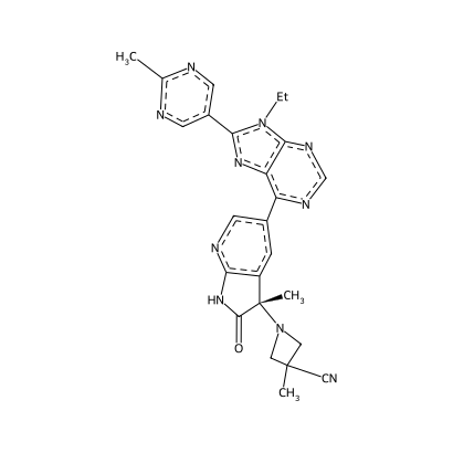 CCn1c(-c2cnc(C)nc2)nc2c(-c3cnc4c(c3)[C@](C)(N3CC(C)(C#N)C3)C(=O)N4)ncnc21